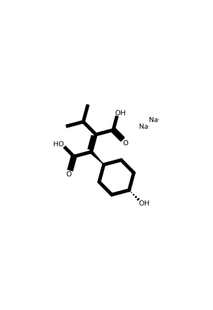 CC(C)C(C(=O)O)=C(C(=O)O)[C@H]1CC[C@H](O)CC1.[Na].[Na]